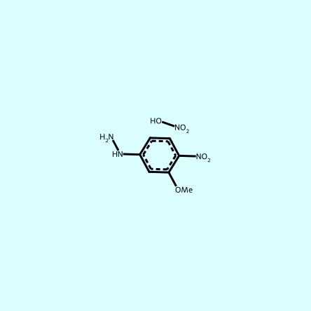 COc1cc(NN)ccc1[N+](=O)[O-].O=[N+]([O-])O